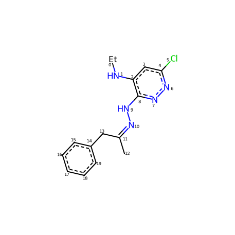 CCNc1cc(Cl)nnc1NN=C(C)Cc1ccccc1